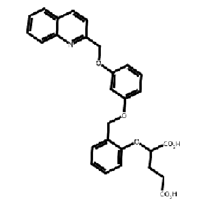 O=C(O)CCC(Oc1ccccc1COc1cccc(OCc2ccc3ccccc3n2)c1)C(=O)O